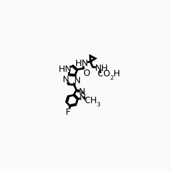 Cn1nc(-c2cnc3[nH]cc(C(=O)NC4(CNC(=O)O)CC4)c3n2)c2ccc(F)cc21